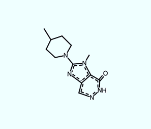 CC1CCN(c2nc3cn[nH]c(=O)c3n2C)CC1